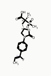 C/C=C(\F)c1ccc(N2C[C@H](C[C@](C)(C(=O)O)S(C)(=O)=O)OC2=O)cc1